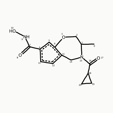 CC1COc2cc(C(=O)NO)ccc2CN1C(=O)C1CC1